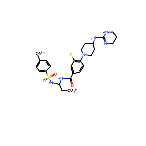 COc1ccc(S(=O)(=O)NC(CC(=O)O)NC(=O)c2ccc(N3CCC(NC4=NCCCN4)CC3)c(F)c2)cc1